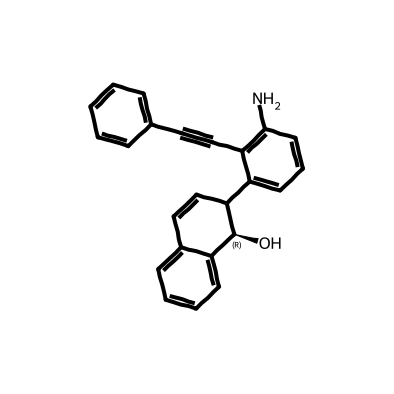 Nc1cccc(C2C=Cc3ccccc3[C@@H]2O)c1C#Cc1ccccc1